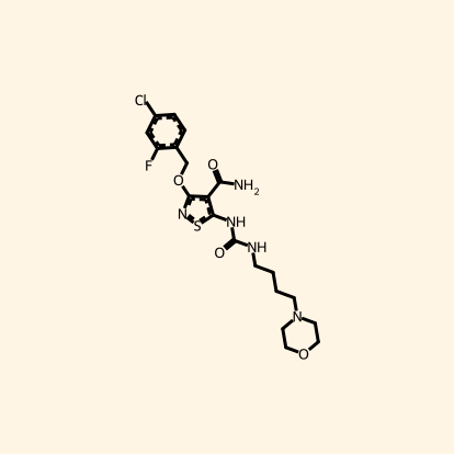 NC(=O)c1c(OCc2ccc(Cl)cc2F)nsc1NC(=O)NCCCCN1CCOCC1